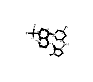 C[C@H]1C[C@@H](N[C@H]2CCN(C)C2=O)CN(c2ccc(C(F)(F)F)c3ncccc23)C1